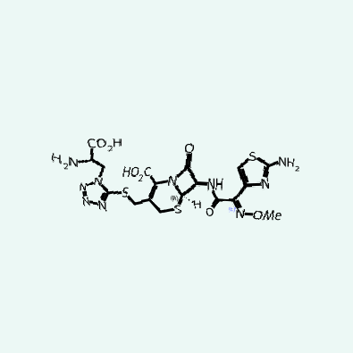 CO/N=C(/C(=O)NC1C(=O)N2C(C(=O)O)=C(CSc3nnnn3CC(N)C(=O)O)CS[C@H]12)c1csc(N)n1